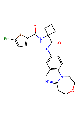 Cc1cc(NC(=O)C2(NC(=O)c3ccc(Br)s3)CCC2)ccc1N1CCOCCC1=N